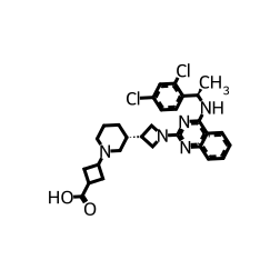 C[C@@H](Nc1nc(N2CC([C@H]3CCCN(C4CC(C(=O)O)C4)C3)C2)nc2ccccc12)c1ccc(Cl)cc1Cl